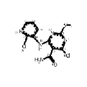 CSc1nc(Cl)c(C(N)=O)c(Nc2cccnc2Cl)n1